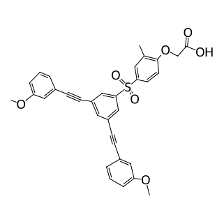 COc1cccc(C#Cc2cc(C#Cc3cccc(OC)c3)cc(S(=O)(=O)c3ccc(OCC(=O)O)c(C)c3)c2)c1